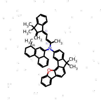 C=C1/C(=C\C=C(/C)N(C2=CC3=C(C=CC[C@H]3C)C3C=CC=CC23)c2ccc3c(c2)-c2c(ccc4c2oc2ccccc24)C3(C)C)c2ccccc2C1(C)C